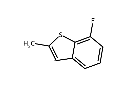 Cc1[c]c2cccc(F)c2s1